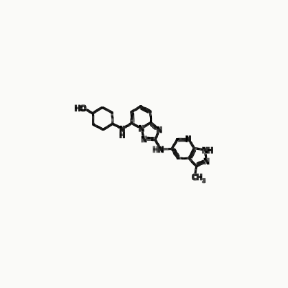 Cc1n[nH]c2ncc(Nc3nc4cccc(NC5CCC(O)CC5)n4n3)cc12